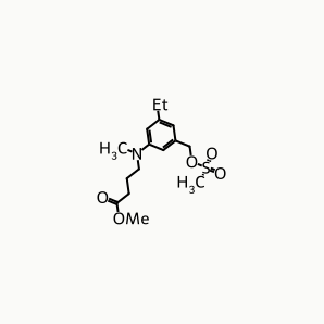 CCc1cc(COS(C)(=O)=O)cc(N(C)CCCC(=O)OC)c1